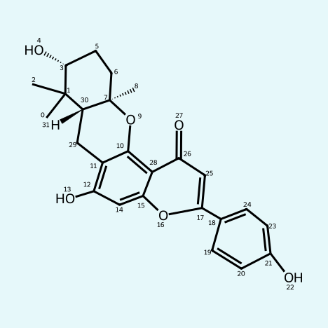 CC1(C)[C@H](O)CC[C@@]2(C)Oc3c(c(O)cc4oc(-c5ccc(O)cc5)cc(=O)c34)C[C@H]12